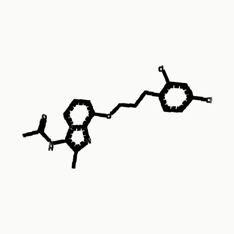 CC(=O)Nc1c(C)nc2c(OCCCc3ccc(Cl)cc3Cl)cccn12